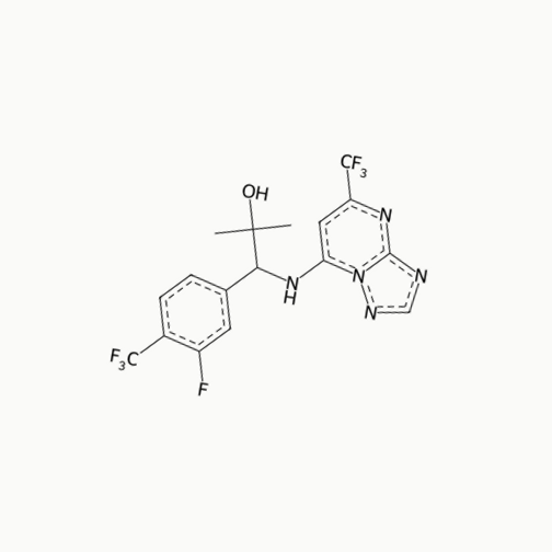 CC(C)(O)C(Nc1cc(C(F)(F)F)nc2ncnn12)c1ccc(C(F)(F)F)c(F)c1